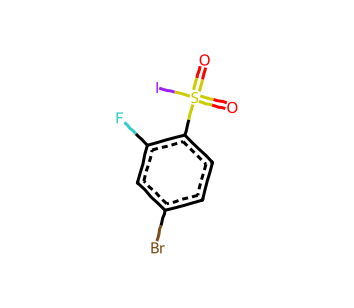 O=S(=O)(I)c1ccc(Br)cc1F